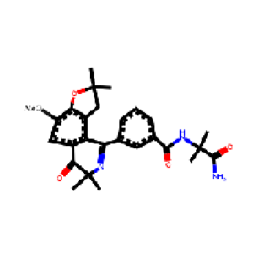 COc1cc2c(c3c1OC(C)(C)C3)C(c1cccc(C(=O)NC(C)(C)C(N)=O)c1)=NC(C)(C)C2=O